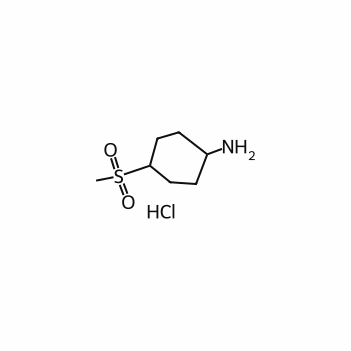 CS(=O)(=O)C1CCC(N)CC1.Cl